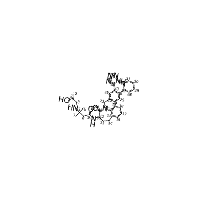 C[C@@H](O)CNC(C)(C)CC(=O)N[C@@H]1CCc2ccccc2N(Cc2ccc(-c3ccccc3)c(-c3nnn[nH]3)c2)C1=O